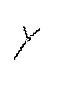 CCCCCCCCCCCCN1C=CN(CCCCCCC)C1CCCCCCC